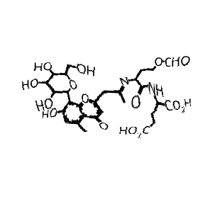 C/C(Cc1cc(=O)c2c(C)cc(O)c(C3OC(CO)C(O)C(O)C3O)c2o1)=N\C(CCOC=O)C(=O)NC(CCC(=O)O)C(=O)O